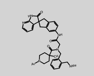 CNCc1ccccc1CN(CC(=O)Nc1ccc2c(c1)CC1(C2)C(=O)Nc2ncccc21)C(=O)C1(C)CCN(C(C)=O)CC1